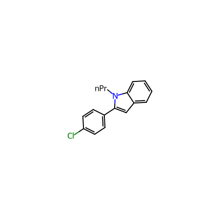 CCCn1c(-c2ccc(Cl)cc2)cc2ccccc21